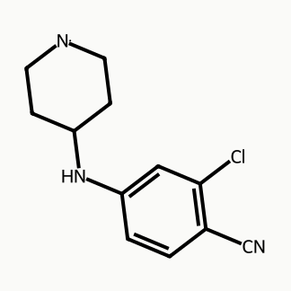 N#Cc1ccc(NC2CC[N]CC2)cc1Cl